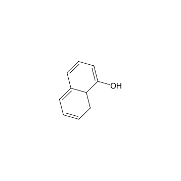 OC1=CC=CC2=CC=CCC12